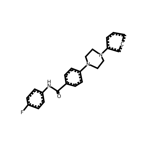 O=C(Nc1ccc(F)cc1)c1ccc(N2CCN(c3ccccc3)CC2)cc1